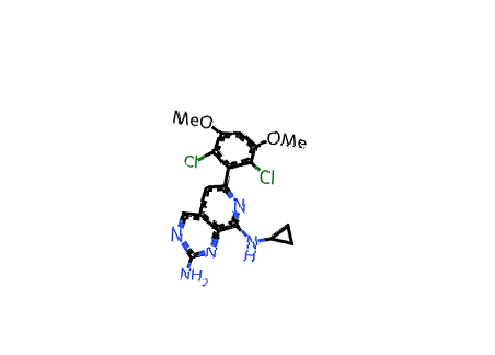 COc1cc(OC)c(Cl)c(-c2cc3cnc(N)nc3c(NC3CC3)n2)c1Cl